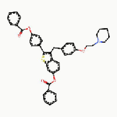 O=C(Oc1ccc(-c2sc3cc(OC(=O)c4ccccc4)ccc3c2Cc2ccc(OCCN3CCCCC3)cc2)cc1)c1ccccc1